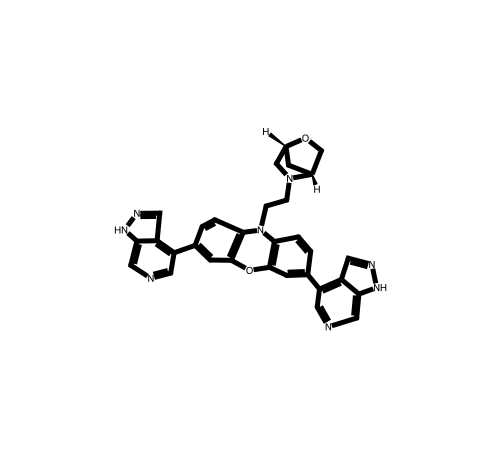 c1cc2c(cc1-c1cncc3[nH]ncc13)Oc1cc(-c3cncc4[nH]ncc34)ccc1N2CCN1C[C@H]2C[C@@H]1CO2